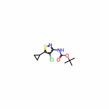 CC(C)(C)OC(=O)Nc1nsc(C2CC2)c1Cl